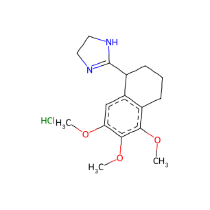 COc1cc2c(c(OC)c1OC)CCCC2C1=NCCN1.Cl